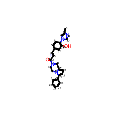 Cc1cn(-c2ccc(/C=C/C(=O)N3CCn4c(ccc4-c4ccccc4)C3)cc2O)cn1